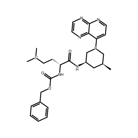 C[C@H]1C[C@@H](NC(=O)[C@@H](CC[S+](C)C)NC(=O)OCc2ccccc2)CN(c2ccnc3nccnc23)C1